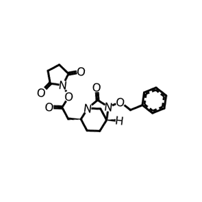 O=C(C[C@@H]1CC[C@@H]2CN1C(=O)N2OCc1ccccc1)ON1C(=O)CCC1=O